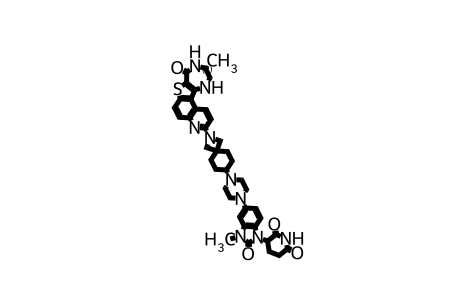 C[C@@H]1CNc2c(sc3ccc4nc(N5CC6(CCC(N7CCN(c8ccc9c(c8)n(C)c(=O)n9C8CCC(=O)NC8=O)CC7)CC6)C5)ccc4c23)C(=O)N1